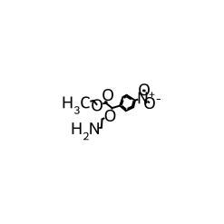 CCOC(=O)C(OCCN)c1ccc([N+](=O)[O-])cc1